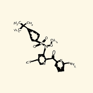 CON(c1cc(Cl)cnc1C(=O)c1cccc(N)n1)S(=O)(=O)c1ccc(C(C)(C)C)cc1